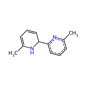 CC1=CC=CC(c2cccc(C)n2)N1